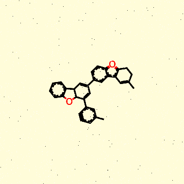 CC1=Cc2c(oc3ccc(C4=CC5c6ccccc6OC5C(c5c#ccc(C)c5)=C4)cc23)CC1